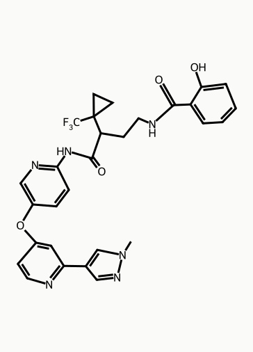 Cn1cc(-c2cc(Oc3ccc(NC(=O)C(CCNC(=O)c4ccccc4O)C4(C(F)(F)F)CC4)nc3)ccn2)cn1